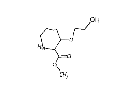 COC(=O)C1NCCCC1OCCO